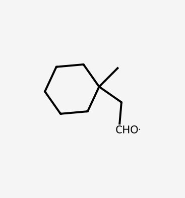 CC1(C[C]=O)CCCCC1